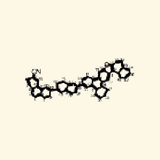 N#Cc1ccc2ccc3ccc(-c4ccc5cc(-c6ccc7c(c6)c6ccccc6c6cc8c(cc76)oc6ccc7ccccc7c68)ccc5c4)cc3c2c1